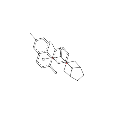 Cc1ccc2c(ccc(=O)n2C(=O)N2CC3CCC(C2)N3c2ccc(Cl)c(Cl)c2)c1